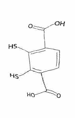 O=C(O)c1ccc(C(=O)O)c(S)c1S